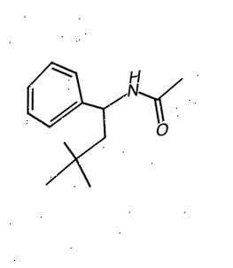 CC(=O)NC(CC(C)(C)C)c1ccccc1